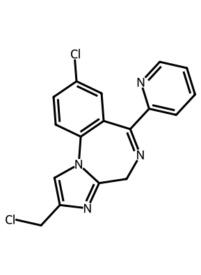 ClCc1cn2c(n1)CN=C(c1ccccn1)c1cc(Cl)ccc1-2